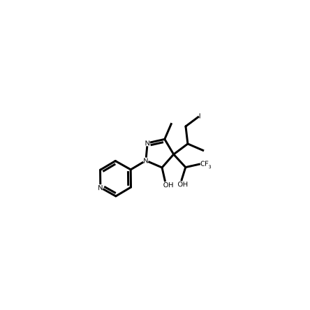 CC1=NN(c2ccncc2)C(O)C1(C(C)CI)C(O)C(F)(F)F